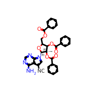 [C-]#[N+]c1cn([C@@H]2OC(COC(=O)c3ccccc3)C(OC(=O)c3ccccc3)[C@@]2(C)OC(=O)c2ccccc2)c2ncnc(N)c12